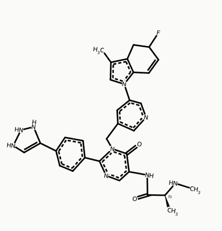 CN[C@@H](C)C(=O)Nc1cnc(-c2ccc(C3=CNNN3)cc2)n(Cc2cncc(-n3cc(C)c4c3C=CC(F)C4)c2)c1=O